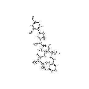 C[C@H]([C@@H](C)O)N1CC[C@H](NC(=O)c2cc(-c3ccc(F)cc3F)on2)[C@@H](C(=O)N(C)CCc2ccccc2)C1